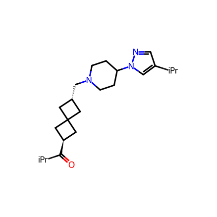 CC(C)c1cnn(C2CCN(C[C@H]3CC4(C3)C[C@H](C(=O)C(C)C)C4)CC2)c1